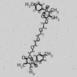 C=C(C(=O)OCCOCCOCCOCCOC(=O)C(=C)C(C)S(=O)(=O)c1ccc(C)cc1)C(C)S(=O)(=O)c1ccc(C)cc1